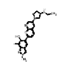 CCNC1CCN(c2cnc3nc(-c4cc5cn(C)nc5c(F)c4O)ccc3c2)C1